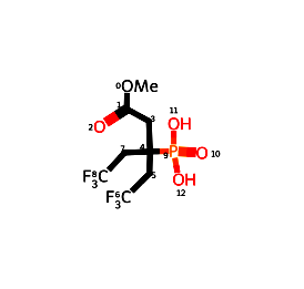 COC(=O)CC(CC(F)(F)F)(CC(F)(F)F)P(=O)(O)O